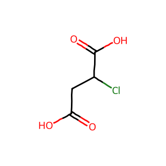 O=C(O)CC(Cl)C(=O)O